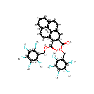 O=C(OCc1c(F)c(F)c(F)c(F)c1F)c1cc2ccc3cccc4ccc(c1C(=O)OCc1c(F)c(F)c(F)c(F)c1F)c2c34